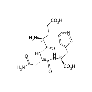 NC(=O)C[C@H](NC(=O)[C@@H](N)CCC(=O)O)C(=O)N[C@@H](Cc1cccnc1)C(=O)O